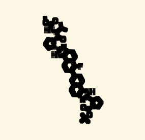 COC(=O)N[C@H](C(=O)N1CCC[C@H]1c1nc2ccc3c(F)c(-c4ccc5c(ccc6nc(C7CCCN7C(=O)OC(C)(C)C)[nH]c65)c4)ccc3c2[nH]1)C(C)C